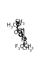 Cc1c(SNC(=O)c2ccc(-n3ccc(OCC(C)(C)C(F)(F)F)n3)nc2Cl)cnn1C